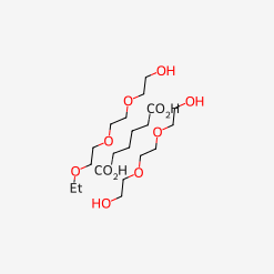 CCOCCOCCOCCO.O=C(O)CCCCC(=O)O.OCCOCCOCCO